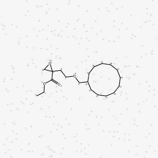 CCOC(=O)C1(CCOCC2CCCCCCCCCCC2)CO1